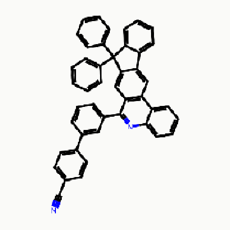 N#Cc1ccc(-c2cccc(-c3nc4ccccc4c4cc5c(cc34)C(c3ccccc3)(c3ccccc3)c3ccccc3-5)c2)cc1